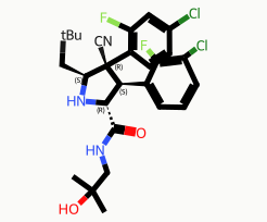 CC(C)(C)C[C@@H]1N[C@@H](C(=O)NCC(C)(C)O)[C@H](c2cccc(Cl)c2F)[C@@]1(C#N)c1ccc(Cl)cc1F